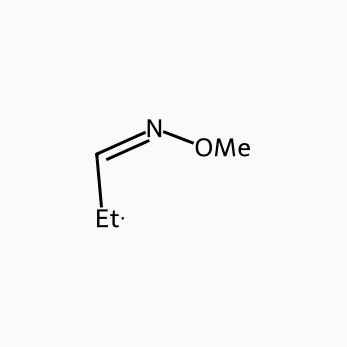 C[CH]/C=N\OC